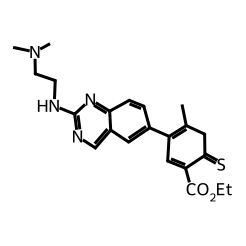 CCOC(=O)C1=CC(c2ccc3nc(NCCN(C)C)ncc3c2)=C(C)CC1=S